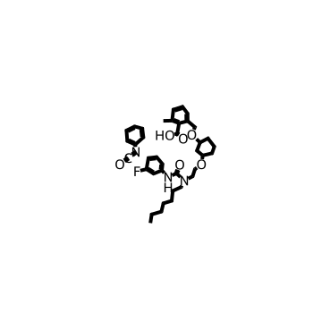 CCCCCCCN(CCOC1CCCC(OCc2cccc(C)c2C(=O)O)C1)C(=O)Nc1cccc(F)c1.O=C=Nc1ccccc1